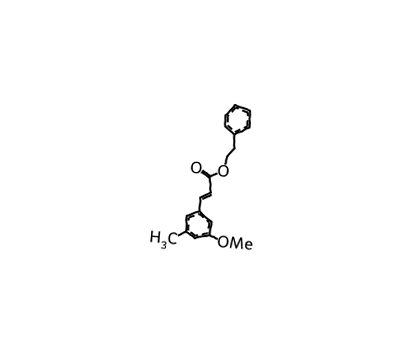 COc1cc(C)cc(/C=C/C(=O)OCCc2ccccc2)c1